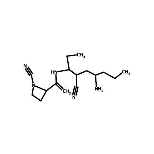 C=C(NC(CC)C(C#N)CC(N)CCC)C1CCN1C#N